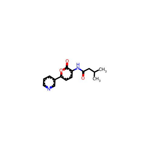 CC(C)CC(=O)Nc1ccc(-c2cccnc2)oc1=O